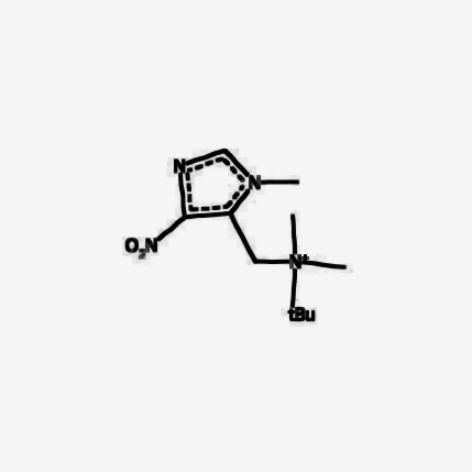 Cn1cnc([N+](=O)[O-])c1C[N+](C)(C)C(C)(C)C